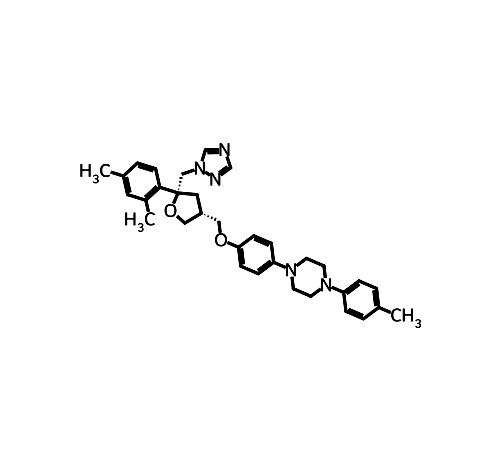 Cc1ccc(N2CCN(c3ccc(OC[C@@H]4CO[C@@](Cn5cncn5)(c5ccc(C)cc5C)C4)cc3)CC2)cc1